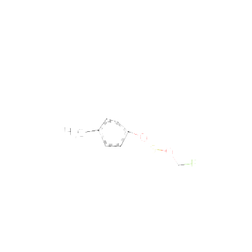 Cc1ccc(OSOCF)cc1